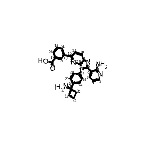 Nc1ncccc1-c1nc2ccc(-c3cccc(C(=O)O)c3)nc2n1-c1ccc(C2(N)CCC2)cc1